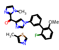 COc1cccc(F)c1-c1cccc(-n2cnc(C(=O)c3nccn3C)c2)c1.Cc1cncs1